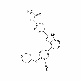 CC(=O)Nc1ccc(-c2cc3c(-c4ccc(OC5CCOCC5)c(C#N)c4)ccnc3[nH]2)cn1